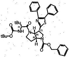 CC(C)(C)OC(=O)N[C@H](C(=O)N1CC[C@@H]2[C@H]1[C@@H](c1nc(-c3ccccc3)c(-c3ccccc3)s1)CN2C(=O)OCc1ccccc1)C(C)(C)C